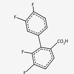 O=C(O)c1ccc(F)c(F)c1-c1ccc(F)c(F)c1